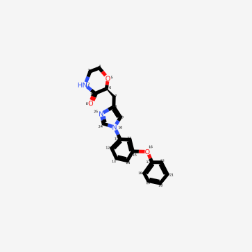 O=C1NCCO[C@H]1Cc1cn(-c2cccc(Oc3ccccc3)c2)cn1